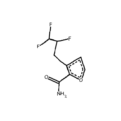 NC(=O)c1occc1CC(F)C(F)F